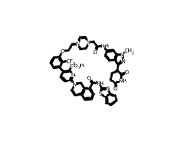 Cn1nc(C2CCC(=O)NC2=O)c2ccc(NC(=O)CN3CCN(CCOc4cccc(-c5ccc(N6CCc7cccc(C(=O)Nc8nc9ccccc9s8)c7C6)nc5C(=O)O)c4C(F)(F)F)CC3)cc21